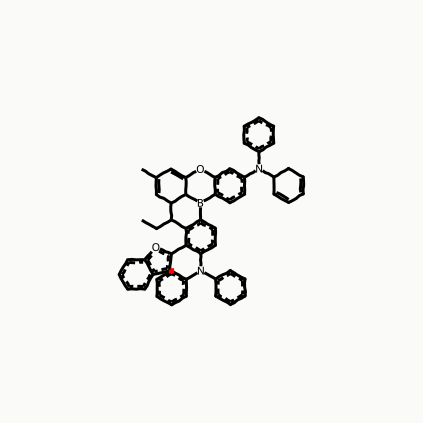 CCC1c2c(ccc(N(c3ccccc3)c3ccccc3)c2-c2cc3ccccc3o2)B2c3ccc(N(c4ccccc4)C4C=CC=CC4)cc3OC3=CC(C)=CC1C23